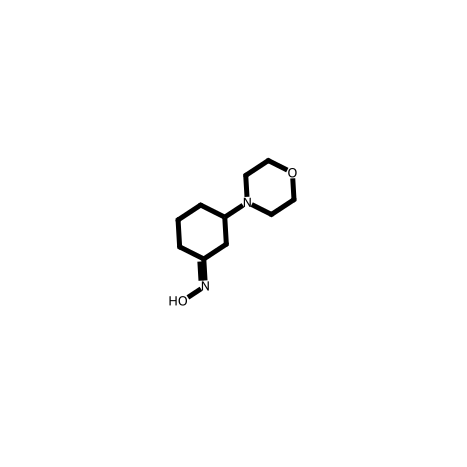 O/N=C1\CCCC(N2CCOCC2)C1